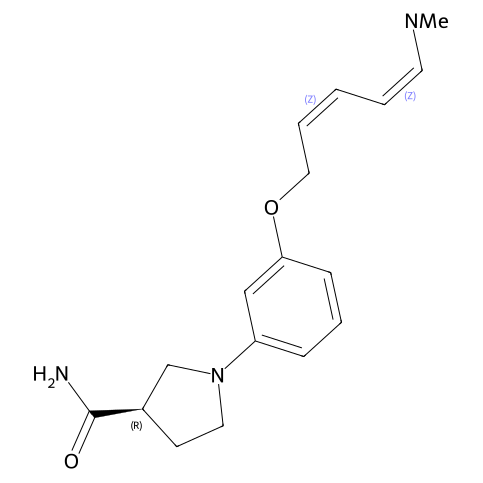 CN/C=C\C=C/COc1cccc(N2CC[C@@H](C(N)=O)C2)c1